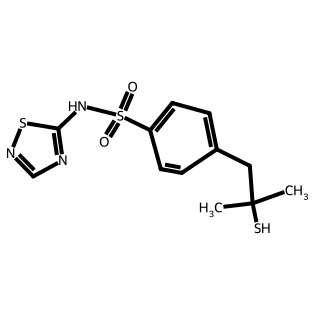 CC(C)(S)Cc1ccc(S(=O)(=O)Nc2ncns2)cc1